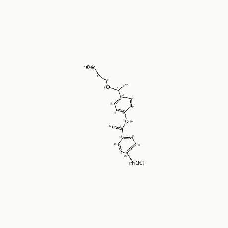 CCCCCCCCCCCCOC(C)c1ccc(OC(=O)c2ccc(CCCCCCCC)cc2)cc1